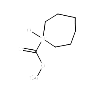 CC(C)(C)OC(=O)[N+]1([O-])CCCCCC1